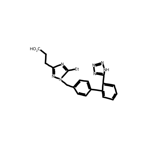 CCc1nc(CCC(=O)O)nn1Cc1ccc(-c2ccccc2-c2nnn[nH]2)cc1